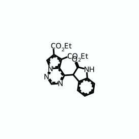 CCOC(=O)c1cn2ncnc(C3C(=O)Nc4ccccc43)c2c1C(=O)OCC